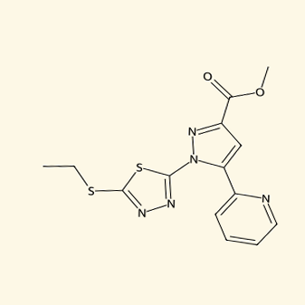 CCSc1nnc(-n2nc(C(=O)OC)cc2-c2ccccn2)s1